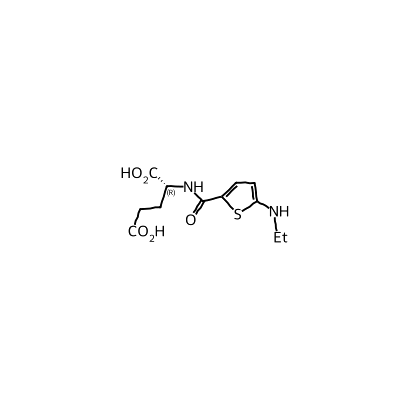 CCNc1ccc(C(=O)N[C@H](CCC(=O)O)C(=O)O)s1